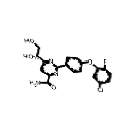 NC(=O)c1cc([C@H](O)CO)nc(-c2ccc(Oc3cc(Cl)ccc3F)cc2)n1